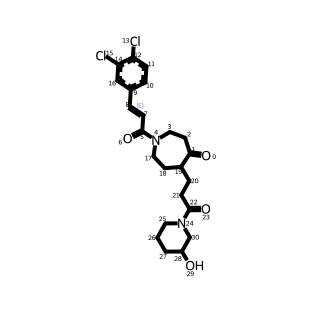 O=C1CCN(C(=O)/C=C/c2ccc(Cl)c(Cl)c2)CCC1CCC(=O)N1CCCC(O)C1